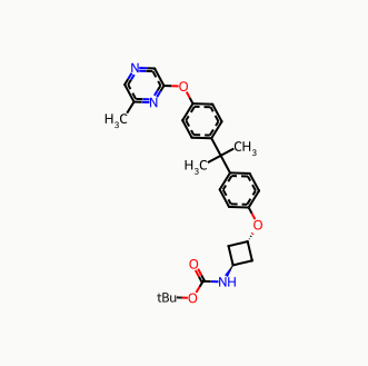 Cc1cncc(Oc2ccc(C(C)(C)c3ccc(O[C@H]4C[C@H](NC(=O)OC(C)(C)C)C4)cc3)cc2)n1